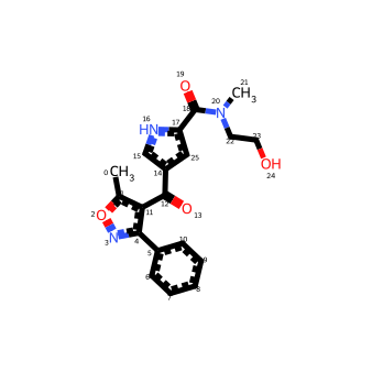 Cc1onc(-c2ccccc2)c1C(=O)c1c[nH]c(C(=O)N(C)CCO)c1